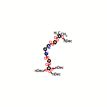 CCCCCCCCCCCCOc1cc(C(=O)Oc2ccc(OC(=O)c3ccc(-c4cccc(-c5ccc(C(=O)Oc6ccc(OC(=O)c7cc(OCCCCCCCCCCCC)c(OCCCCCCCCCCCC)c(OCCCCCCCCCCCC)c7)cc6)cn5)c4)nc3)cc2)cc(C)c1C